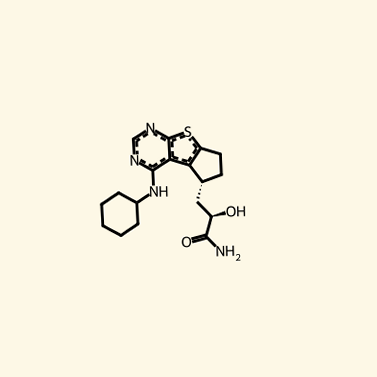 NC(=O)[C@H](O)C[C@H]1CCc2sc3ncnc(NC4CCCCC4)c3c21